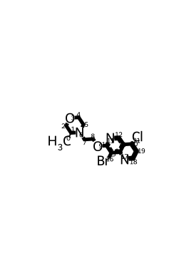 C[C@@H]1COCCN1CCOc1ncc2c(c1Br)N=C=C=C2Cl